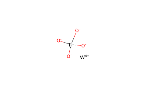 [O-][Ti]([O-])([O-])[O-].[W+4]